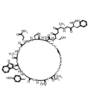 CC(C)C[C@@H]1NN[C@@H](CCC(N)=O)C(=O)CN[C@@H](C)C(=O)CC(=O)[C@H](Cc2c[nH]c3ccccc23)NN[C@@H](Cc2ccc(O)cc2)C(=O)CN[C@@H](C)C(=O)CC(=O)[C@](C)(N)CCCCCCC=CCCC[C@@](C)(C(=O)N[C@@H](CO)C(=O)CC(=O)[C@H](C)NCC(=O)[C@H](Cc2ccccc2)NN)NC1=O